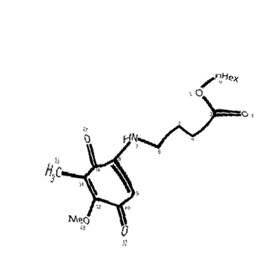 CCCCCCOC(=O)CCCNC1=CC(=O)C(OC)=C(C)C1=O